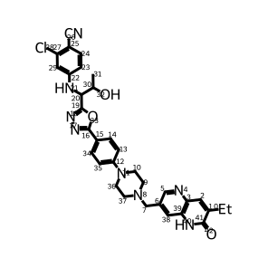 CCc1cc2ncc(CN3CCN(c4ccc(-c5nnc(C(Nc6ccc(C#N)c(Cl)c6)C(C)O)o5)cc4)CC3)cc2[nH]c1=O